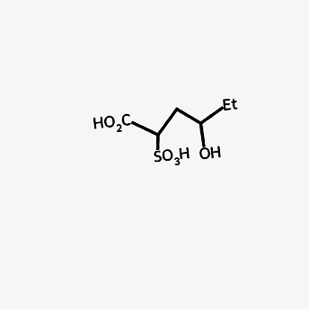 CCC(O)CC(C(=O)O)S(=O)(=O)O